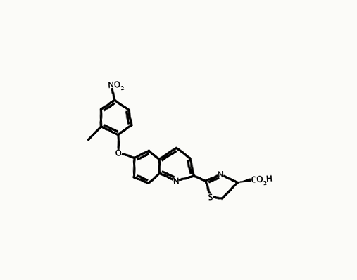 Cc1cc([N+](=O)[O-])ccc1Oc1ccc2nc(C3=N[C@@H](C(=O)O)CS3)ccc2c1